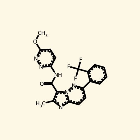 COc1ccc(NC(=O)c2c(C)nc3ccc(-c4ccccc4C(F)(F)F)nn23)nn1